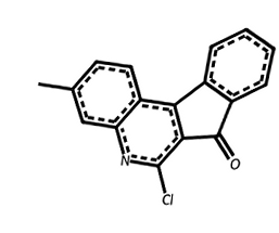 Cc1ccc2c3c(c(Cl)nc2c1)C(=O)c1ccccc1-3